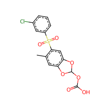 Cc1cc2c(cc1S(=O)(=O)c1cccc(Cl)c1)OC(OC(=O)O)O2